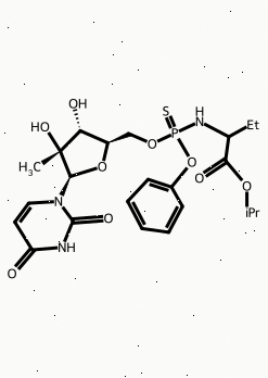 CCC(NP(=S)(OC[C@H]1O[C@@H](n2ccc(=O)[nH]c2=O)[C@](C)(O)[C@@H]1O)Oc1ccccc1)C(=O)OC(C)C